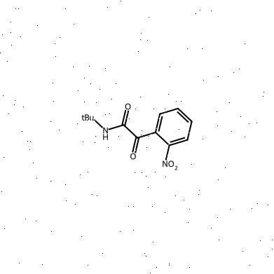 CC(C)(C)NC(=O)C(=O)c1ccccc1[N+](=O)[O-]